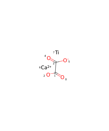 O=C([O-])C(=O)[O-].[Ca+2].[Ti]